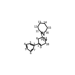 C1=C(c2ccccc2)CC(N2CCCCCC2)[N]C1